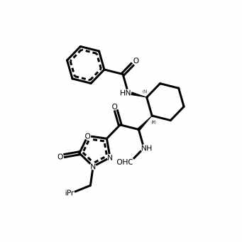 CC(C)Cn1nc(C(=O)C(NC=O)[C@@H]2CCCC[C@@H]2NC(=O)c2ccccc2)oc1=O